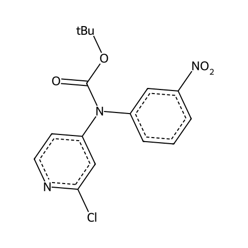 CC(C)(C)OC(=O)N(c1cccc([N+](=O)[O-])c1)c1ccnc(Cl)c1